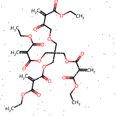 C=C(C(=O)COCC(COC(=O)C(=C)C(=O)OCC)(COC(=O)C(=C)C(=O)OCC)COC(=O)C(=C)C(=O)OCC)C(=O)OCC